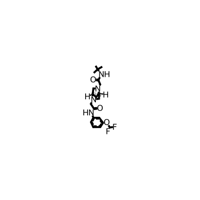 CC(C)(C)NC(=O)CN1C[C@@H]2C[C@H]1CN2CC(=O)Nc1cccc(OC(F)F)c1